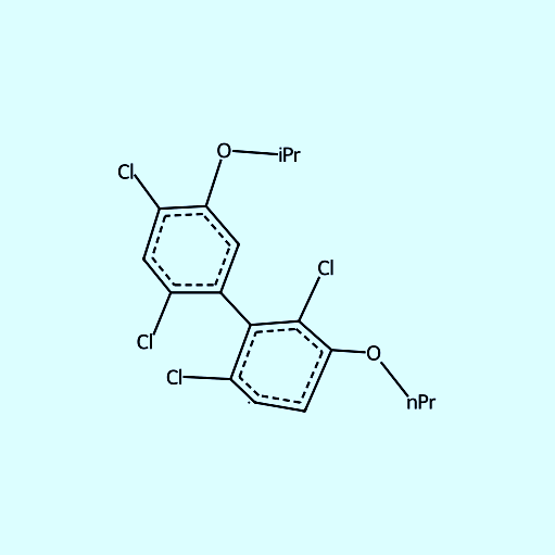 CCCOc1c[c]c(Cl)c(-c2cc(OC(C)C)c(Cl)cc2Cl)c1Cl